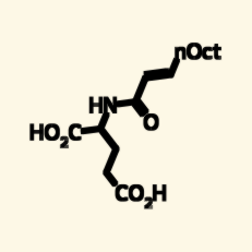 CCCCCCCC/C=C/C(=O)NC(CCC(=O)O)C(=O)O